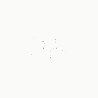 CCCCCCCc1ccc(O)c(CCCCCC)c1CCCCCCC